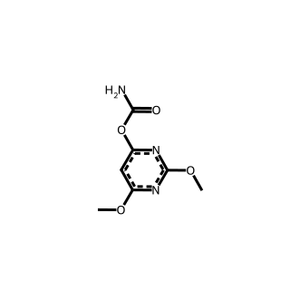 COc1cc(OC(N)=O)nc(OC)n1